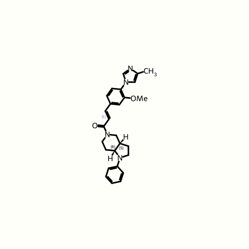 COc1cc(/C=C/C(=O)N2CC[C@@H]3[C@@H](CCN3c3ccccc3)C2)ccc1-n1cnc(C)c1